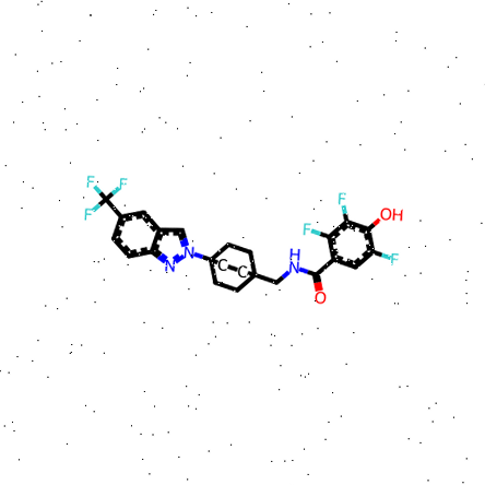 O=C(NCC12CCC(n3cc4cc(C(F)(F)F)ccc4n3)(CC1)CC2)c1cc(F)c(O)c(F)c1F